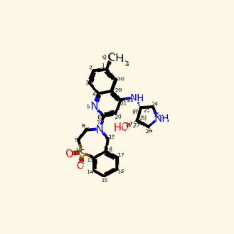 Cc1ccc2nc(N3CCS(=O)(=O)c4ccccc4C3)cc(N[C@@H]3CNC[C@@H]3O)c2c1